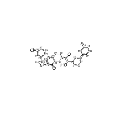 O=C(C(O)c1cccc(-c2cccc(F)c2)c1)N1CCc2nc(C3(c4cccc(Cl)c4)CC3)[nH]c(=O)c2C1